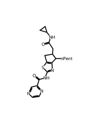 CCCCCC1c2nc(NC(=O)c3cnccn3)sc2CC1CC(=O)NC1CC1